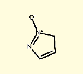 [O-][N+]1=NC=CC1